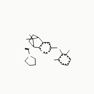 CC1(C)[C@H]2CC[C@]1(C(=O)N1CCCC1)c1nnc(Oc3c(F)cccc3F)cc12